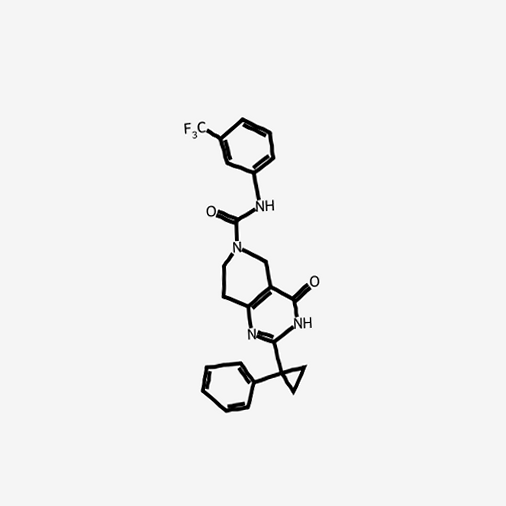 O=C(Nc1cccc(C(F)(F)F)c1)N1CCc2nc(C3(c4ccccc4)CC3)[nH]c(=O)c2C1